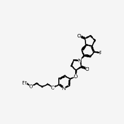 CCOCCCOc1ccc(OC2CCN(c3cc(F)c4c(c3)C(=O)CC4)C2=O)cn1